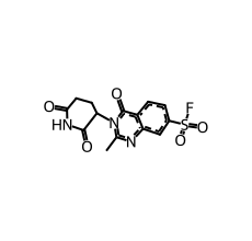 Cc1nc2cc(S(=O)(=O)F)ccc2c(=O)n1C1CCC(=O)NC1=O